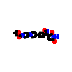 CC(C)(C)OC(=O)N1CCC(N2CCC(c3ccc4c(C5CCC(=O)NC5=O)noc4c3)CC2)CC1